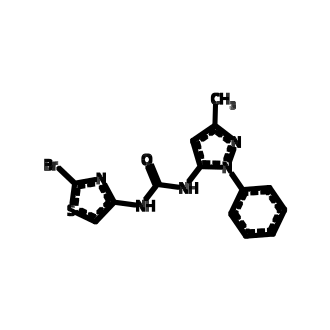 Cc1cc(NC(=O)Nc2csc(Br)n2)n(-c2ccccc2)n1